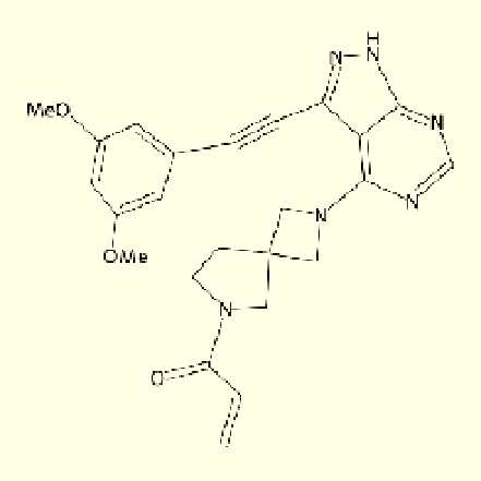 C=CC(=O)N1CCC2(C1)CN(c1ncnc3[nH]nc(C#Cc4cc(OC)cc(OC)c4)c13)C2